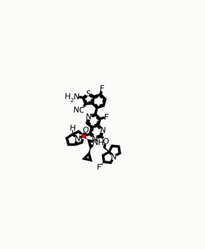 N#Cc1c(N)sc2c(F)ccc(-c3ncc4c(N5CC6CC[C@@H](C5)N6C(=O)[C@@H]5N[C@H]5C5CC5)nc(OC[C@@]56CCCN5C[C@H](F)C6)nc4c3F)c12